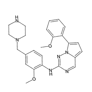 COc1cc(CN2CCNCC2)ccc1Nc1ncc2ccc(-c3ccccc3OC)n2n1